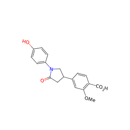 COc1cc(C2CC(=O)N(c3ccc(O)cc3)C2)ccc1C(=O)O